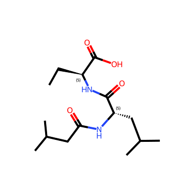 CC[C@H](NC(=O)[C@H](CC(C)C)NC(=O)CC(C)C)C(=O)O